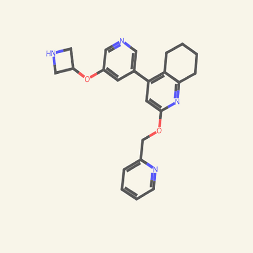 c1ccc(COc2cc(-c3cncc(OC4CNC4)c3)c3c(n2)CCCC3)nc1